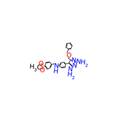 CS(=O)(=O)c1ccc(CNc2ccc(-c3c(N)nc(N)nc3COCc3ccccc3)cc2)cc1